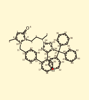 CCCCn1c(=O)cc(C)n1Cc1ccc(-c2ccccc2-c2nnnn2C(c2ccccc2)(c2ccccc2)c2ccccc2)cc1